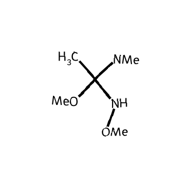 CNC(C)(NOC)OC